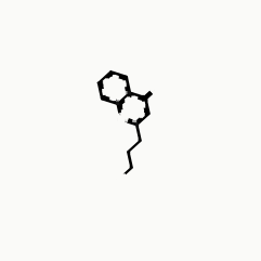 CCCCc1cc(=O)c2ccccc2o1